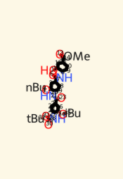 CCCCOc1cc(C(=O)Nc2ccc(C(=O)OC)cc2O)ccc1NC(=O)c1ccc(NC(=O)OC(C)(C)C)c(OC(C)CC)c1